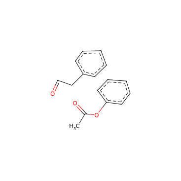 CC(=O)Oc1ccccc1.O=CCc1ccccc1